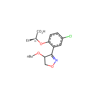 CCCCOC1CON=C1c1cc(Cl)ccc1O[C@@H](CC)C(=O)O